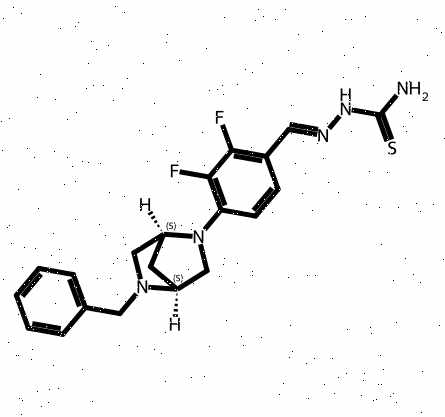 NC(=S)NN=Cc1ccc(N2C[C@@H]3C[C@H]2CN3Cc2ccccc2)c(F)c1F